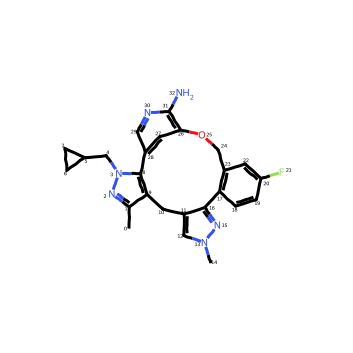 Cc1nn(CC2CC2)c2c1Cc1cn(C)nc1-c1ccc(F)cc1COc1cc-2cnc1N